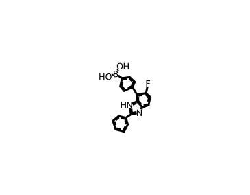 OB(O)c1ccc(-c2c(F)ccc3nc(-c4ccccc4)[nH]c23)cc1